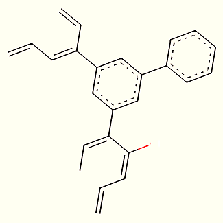 C=C/C=C(O)\C(=C/C)c1cc(/C(C=C)=C/C=C)cc(-c2ccccc2)c1